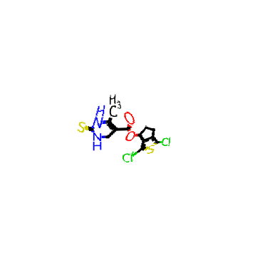 CC1=C(C(=O)OC2CCc3c(Cl)sc(Cl)c32)CNC(=S)N1